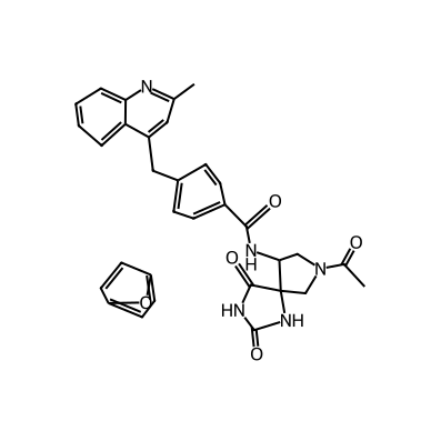 CC(=O)N1CC(NC(=O)c2ccc(Cc3cc(C)nc4ccccc34)cc2)C2(C1)NC(=O)NC2=O.c1cc2ccc1o2